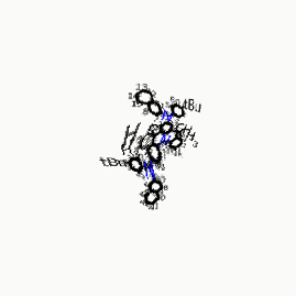 CC(C)(C)c1ccc(N(c2ccc3c(c2)C=CCC3)c2cc3c4c(c2)C(C)(C)c2cc(N(c5ccc(C(C)(C)C)cc5)c5ccc6ccccc6c5)ccc2N4c2ccccc2C3(C)C)cc1